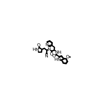 COc1cccc2[nH]c(C(=O)NC(Cc3cccnc3)C(=O)NC(C#N)CC3CCNC3=O)cc12